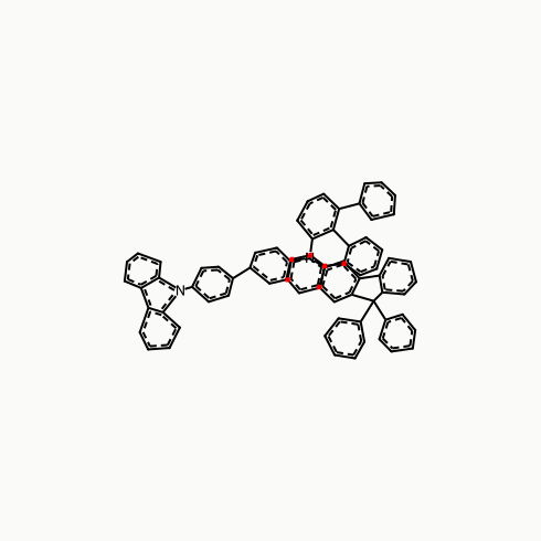 c1ccc(-c2ccccc2-c2c(-c3ccccc3)cccc2N(c2ccc(-c3ccc(-n4c5ccccc5c5ccccc54)cc3)cc2)c2ccc3c(c2)-c2ccccc2C3(c2ccccc2)c2ccccc2)cc1